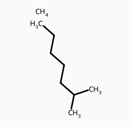 C.CCCCCC(C)C